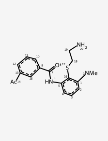 CNc1cccc(NC(=O)c2cccc(C(C)=O)c2)c1SCCN